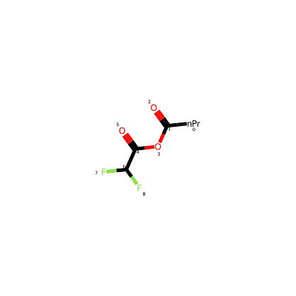 CCCC(=O)OC(=O)C(F)F